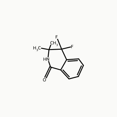 CC1(C)NC(=O)c2ccccc2C1(F)F